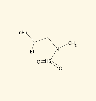 CCCCC(CC)CN(C)[SH](=O)=O